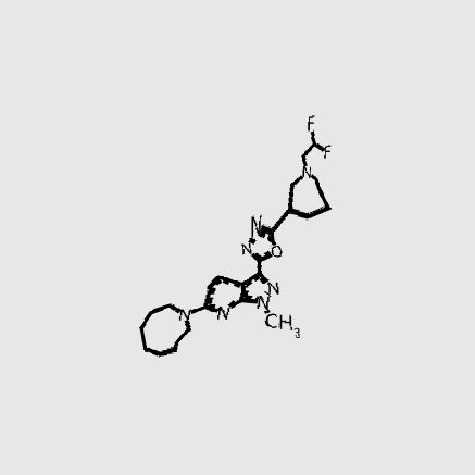 Cn1nc(-c2nnc(C3CCCN(CC(F)F)C3)o2)c2ccc(N3CCCCCCC3)nc21